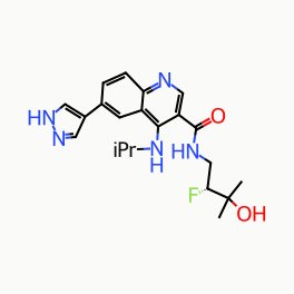 CC(C)Nc1c(C(=O)NC[C@@H](F)C(C)(C)O)cnc2ccc(-c3cn[nH]c3)cc12